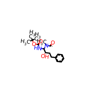 CN([C]=O)C(NC(=O)OC(C)(C)C)[C@@H](O)CCc1ccccc1